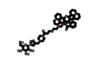 O=C(CCOCCOCCN1C(=O)c2ccccc2C12c1cc3c4c(c1Oc1c2cc2c5c1CCCN5CCC2)CCCN4CCC3)N1CCN(Cc2cn([C@H]3OC(CO)[C@H](O)[C@@H](O)C3O)nn2)CC1